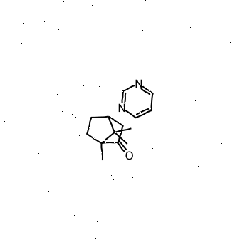 CC12CCC(CC1=O)C2(C)C.c1cncnc1